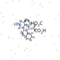 CC(C)CN(Cc1cncc2ccccc12)C1CCNCC1.O=C(O)C=CC(=O)O